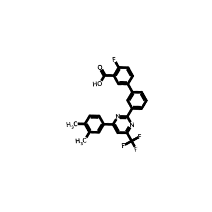 Cc1ccc(-c2cc(C(F)(F)F)nc(-c3cccc(-c4ccc(F)c(C(=O)O)c4)c3)n2)cc1C